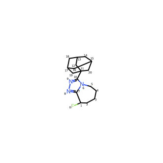 FC1CCCCn2c1nnc2C12CC3CC(CC(C3)C1)C2